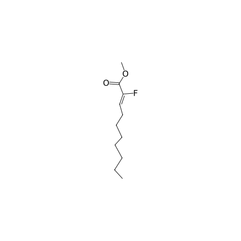 CCCCCCCC=C(F)C(=O)OC